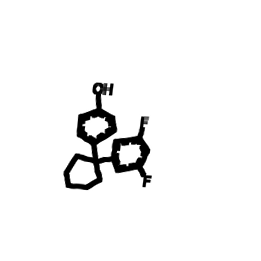 Oc1ccc(C2(c3cc(F)cc(F)c3)CCCCC2)cc1